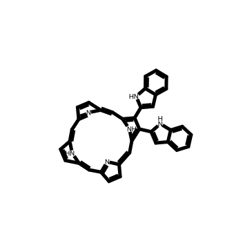 C1=Cc2cc3[nH]c(cc4nc(cc5ccc(cc1n2)[nH]5)C=C4)c(-c1cc2ccccc2[nH]1)c3-c1cc2ccccc2[nH]1